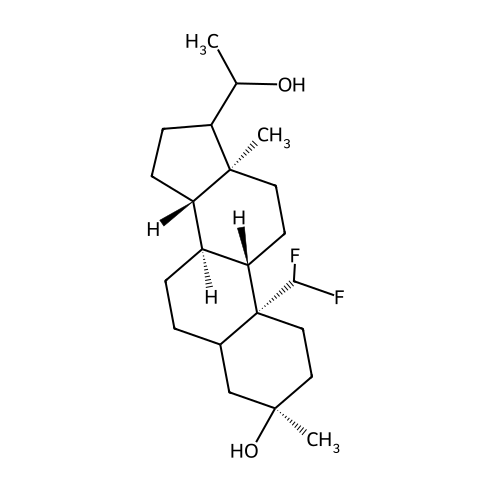 CC(O)C1CC[C@H]2[C@@H]3CCC4C[C@](C)(O)CC[C@]4(C(F)F)[C@H]3CC[C@]12C